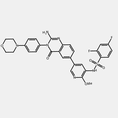 COc1ncc(-c2ccc3nc(N)n(-c4ccc(N5CCOCC5)cc4)c(=O)c3c2)cc1NS(=O)(=O)c1ccc(F)cc1F